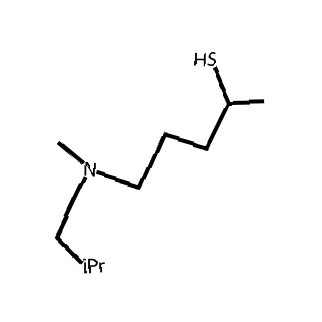 CC(C)CN(C)CCCC(C)S